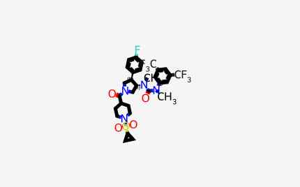 CN(C(=O)N(C)[C@@H]1CN(C(=O)C2CCN(S(=O)(=O)C3CC3)CC2)C[C@H]1c1ccc(F)cc1)c1cc(C(F)(F)F)cc(C(F)(F)F)c1